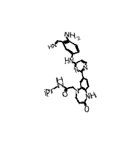 CC(C)NC(=O)CN1CCC(=O)Nc2ccc(-c3nccc(Nc4ccc(N)c(C=N)c4)n3)cc21